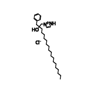 CCCCCCCCCCCCCCCCCCC(O)(Cc1ccccc1)C[n+]1cc[nH]c1.[Cl-]